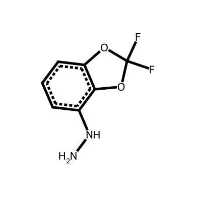 NNc1cccc2c1OC(F)(F)O2